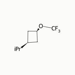 CC(C)[C@H]1C[C@@H](OC(F)(F)F)C1